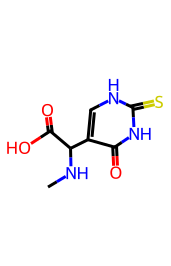 CNC(C(=O)O)c1c[nH]c(=S)[nH]c1=O